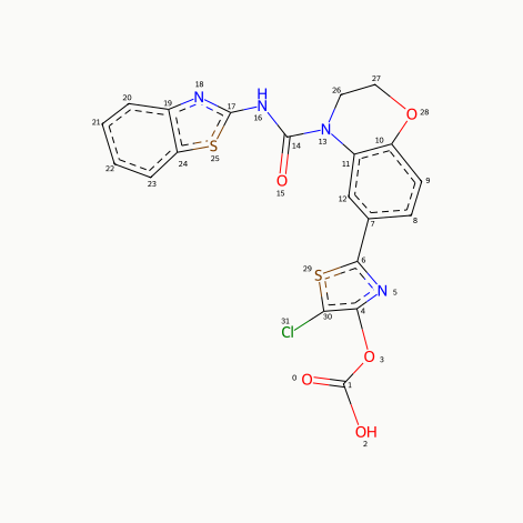 O=C(O)Oc1nc(-c2ccc3c(c2)N(C(=O)Nc2nc4ccccc4s2)CCO3)sc1Cl